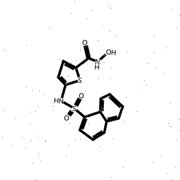 O=C(NO)c1ccc(NS(=O)(=O)c2cccc3ccccc23)s1